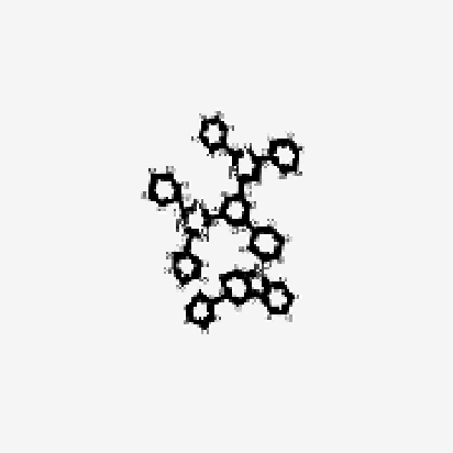 c1ccc(-c2ccc3c(c2)c2ccccc2n3-c2cccc(-c3cc(-c4cc(-c5ccccc5)nc(-c5ccccc5)n4)cc(-c4nc(-c5ccccc5)nc(-c5ccccc5)n4)c3)c2)cc1